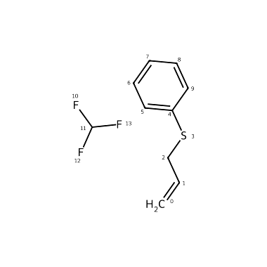 C=CCSc1ccccc1.FC(F)F